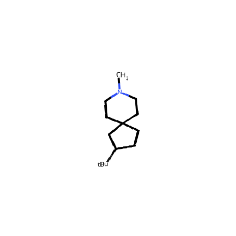 CN1CCC2(CCC(C(C)(C)C)C2)CC1